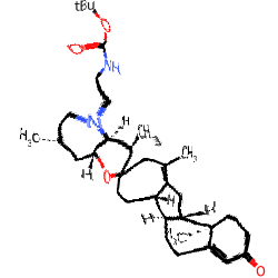 CC1=C2C[C@H]3[C@@H](CCC4=CC(=O)CC[C@@]43C)[C@@H]2CCC2(C1)O[C@@H]1C[C@H](C)CN(CCNC(=O)OC(C)(C)C)[C@H]1[C@H]2C